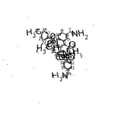 CC(=O)C(c1cc(CN)ccc1NS(=O)(=O)c1ccc(C)cc1)c1cc(C)cc(C)c1NS(=O)(=O)c1ccc(CN)cc1